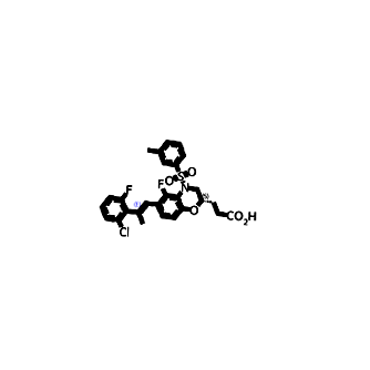 C/C(=C\c1ccc2c(c1F)N(S(=O)(=O)c1cccc(C)c1)C[C@H](CCC(=O)O)O2)c1c(F)cccc1Cl